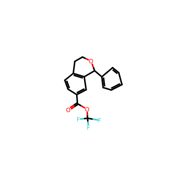 O=C(OC(F)(F)F)c1ccc2c(c1)C(c1ccccc1)OCC2